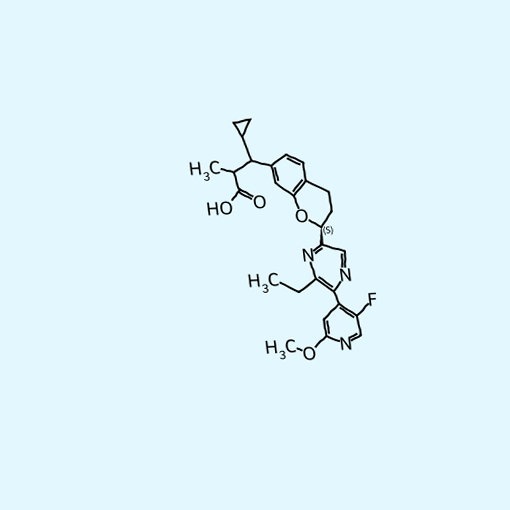 CCc1nc([C@@H]2CCc3ccc(C(C4CC4)C(C)C(=O)O)cc3O2)cnc1-c1cc(OC)ncc1F